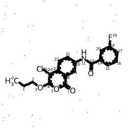 CCCOc1oc(=O)c2cc(NC(=O)c3cccc(F)c3)ccc2c1Cl